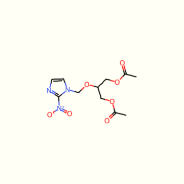 CC(=O)OCC(COC(C)=O)OCn1ccnc1[N+](=O)[O-]